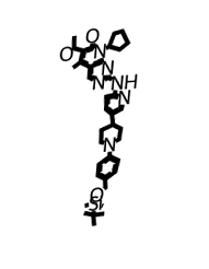 CC(=O)c1c(C)c2cnc(Nc3ccc(C4CCN(c5ccc(CO[Si](C)(C)C(C)(C)C)cc5)CC4)cn3)nc2n(C2CCCC2)c1=O